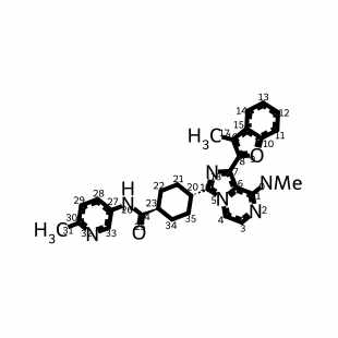 CNc1nccn2c1c(-c1oc3ccccc3c1C)nc2[C@H]1CC[C@H](C(=O)Nc2ccc(C)nc2)CC1